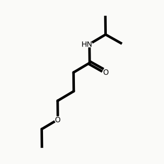 CCOCCCC(=O)NC(C)C